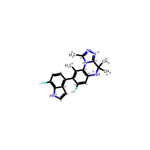 Cc1c(-c2ccc(F)c3[nH]ccc23)c(F)cc2c1-n1c(C)nnc1C(C)(C)N2